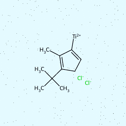 CC1=C(C(C)(C)C)CC=[C]1[Ti+2].[Cl-].[Cl-]